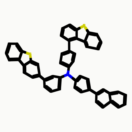 c1cc(-c2ccc3c(c2)sc2ccccc23)cc(N(c2ccc(-c3ccc4ccccc4c3)cc2)c2ccc(-c3cccc4sc5ccccc5c34)cc2)c1